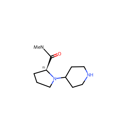 CNC(=O)[C@@H]1CCCN1C1CCNCC1